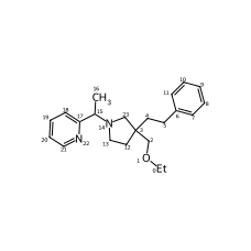 CCOCC1(CCc2ccccc2)CCN(C(C)c2ccccn2)C1